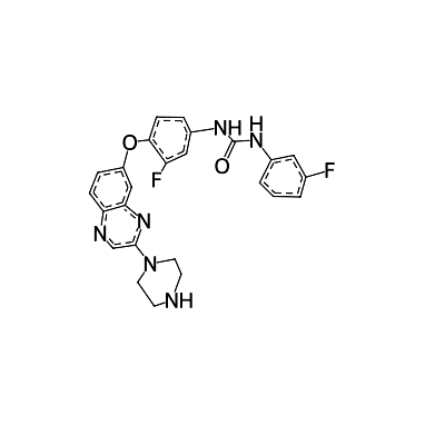 O=C(Nc1cccc(F)c1)Nc1ccc(Oc2ccc3ncc(N4CCNCC4)nc3c2)c(F)c1